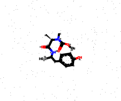 C[C@@H](C(=O)NC(Cc1ccc(O)cc1)C(=O)O)N(C)C(=O)OC(C)(C)C